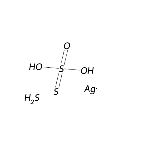 O=S(O)(O)=S.S.[Ag]